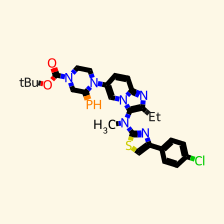 CCc1nc2ccc(N3CCN(C(=O)OC(C)(C)C)CC3=P)cn2c1N(C)c1nc(-c2ccc(Cl)cc2)cs1